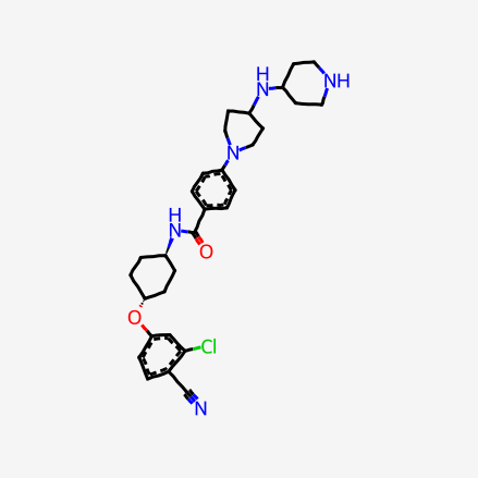 N#Cc1ccc(O[C@H]2CC[C@H](NC(=O)c3ccc(N4CCC(NC5CCNCC5)CC4)cc3)CC2)cc1Cl